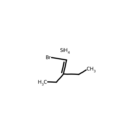 CCC(=CBr)CC.[SiH4]